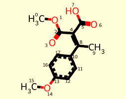 COC(=O)C(C(=O)O)=C(C)c1ccc(OC)cc1